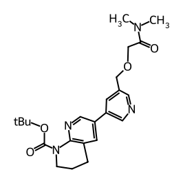 CN(C)C(=O)COCc1cncc(-c2cnc3c(c2)CCCN3C(=O)OC(C)(C)C)c1